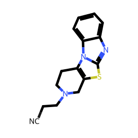 N#CCCN1CCc2c(sc3nc4ccccc4n23)C1